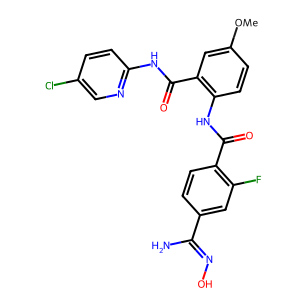 COc1ccc(NC(=O)c2ccc(/C(N)=N/O)cc2F)c(C(=O)Nc2ccc(Cl)cn2)c1